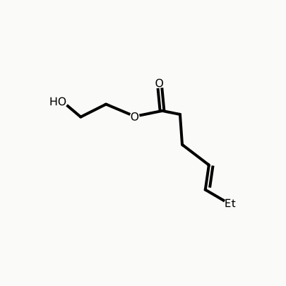 CCC=CCCC(=O)OCCO